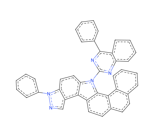 c1ccc(-c2nc(-n3c4ccc5c(cnn5-c5ccccc5)c4c4ccc5ccc6ccccc6c5c43)nc3ccccc23)cc1